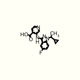 CC(C1CC1)n1nc(Nc2cnccc2C(=O)O)c2cc(F)ccc21